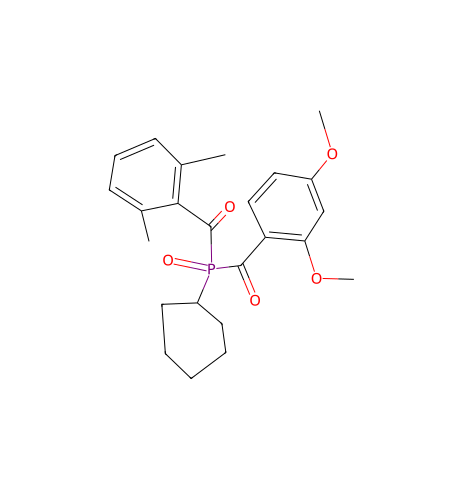 COc1ccc(C(=O)P(=O)(C(=O)c2c(C)cccc2C)C2CCCCC2)c(OC)c1